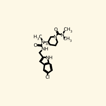 CN(C)C(=O)N1CCC[C@@H](N(C)C(=O)NCc2cc3cc(Cl)ccc3[nH]2)C1